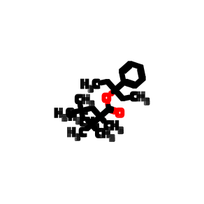 CCC(CC)(OC(=O)C(C)(CC(C)(C)C)C(C)(C)C)c1ccccc1